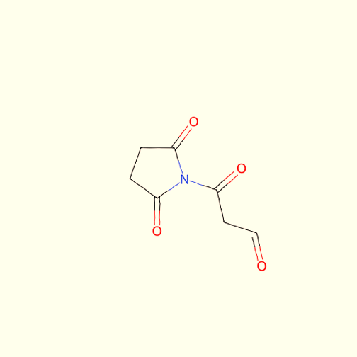 O=CCC(=O)N1C(=O)CCC1=O